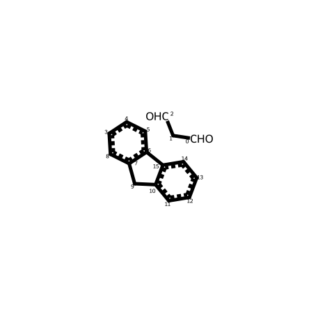 O=CCC=O.c1ccc2c(c1)Cc1ccccc1-2